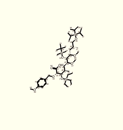 CC[Si](CC)(CC)O[C@H]([C@H](C)C[C@H](OC)[C@H](O[Si](C)(C)C(C)(C)C)[C@H](C[C@@H](C)CO[Si](C(C)C)(C(C)C)C(C)C)OC)[C@H](OCc1ccc(OC)cc1)C(=O)O